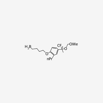 BCCCCOc1ccc(C(C)(OCOC)C(F)(F)F)cc1CCC